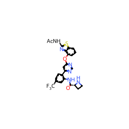 CC(=O)Nc1nc2c(Oc3cc(-c4ccc(C(F)(F)F)cc4NC(=O)[C@@H]4CCN4)ncn3)cccc2s1